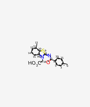 Cc1ccc(C(=O)N=c2sc3c(C)cccc3n2CC(=O)O)cc1